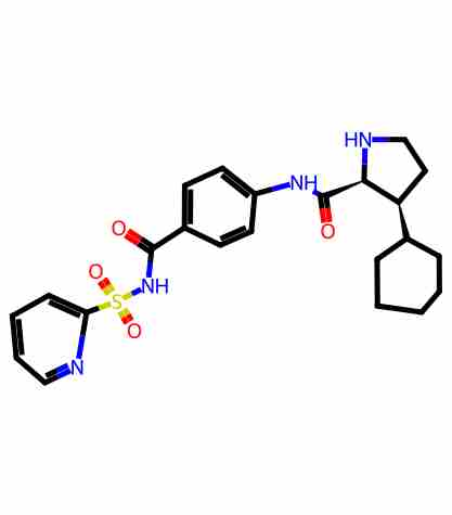 O=C(NS(=O)(=O)c1ccccn1)c1ccc(NC(=O)[C@H]2NCC[C@H]2C2CCCCC2)cc1